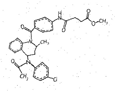 COC(=O)CCC(=O)Nc1ccc(C(=O)N2c3ccccc3C(N(C(C)=O)c3ccc(Cl)cc3)CC2C)cc1